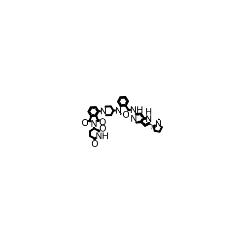 CN(c1ccccc1C(=O)Nc1cc2[nH]c([C@H]3CCCN3C)cc2cn1)C1CCN(c2cccc3c2C(=O)N(C2CCC(=O)NC2=O)C3=O)CC1